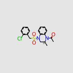 CC(=O)N1c2ccccc2N(S(=O)(=O)Cc2ccccc2Cl)C[C@@H]1C